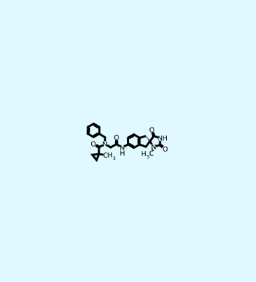 CN1C(=O)NC(=O)[C@@]12Cc1ccc(NC(=O)CN(Cc3ccccc3)C(=O)C3(C)CC3)cc1C2